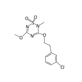 COC1=NS(=O)(=O)N(C)C(OCCc2cccc(Cl)c2)=N1